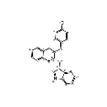 Clc1ccc(CN2Cc3ccccc3C[C@H]2Cn2cnc3ccccc32)cc1